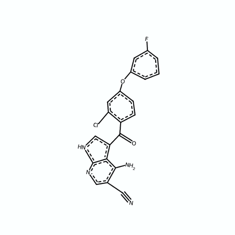 N#Cc1cnc2[nH]cc(C(=O)c3ccc(Oc4cccc(F)c4)cc3Cl)c2c1N